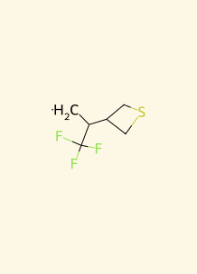 [CH2]C(C1CSC1)C(F)(F)F